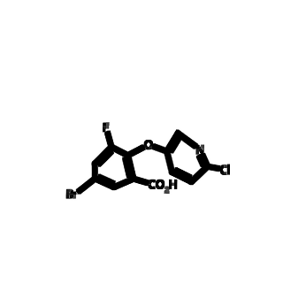 O=C(O)c1cc(Br)cc(F)c1Oc1ccc(Cl)nc1